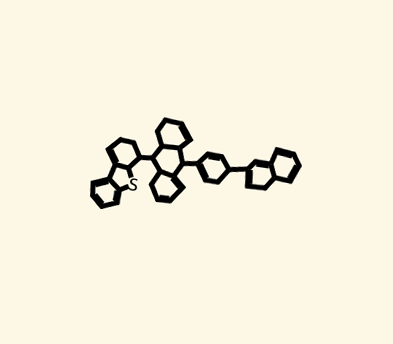 C1=CCC2C(=C1)C(C1=CCC(C3=CCC4C=CC=CC4=C3)C=C1)C1C=CCCC1C2C1CCC=C2c3ccccc3SC21